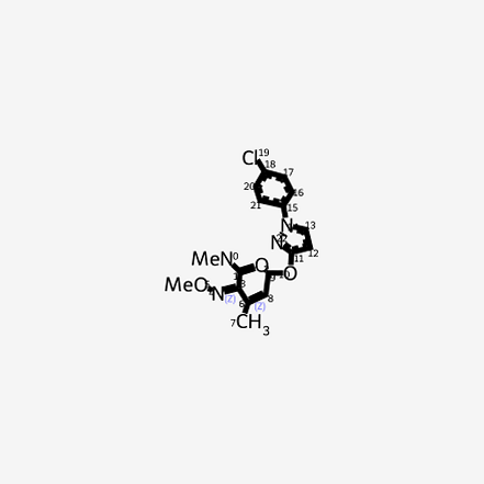 CNC(=O)C(=N\OC)/C(C)=C\COc1ccn(-c2ccc(Cl)cc2)n1